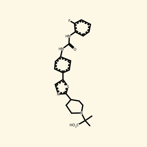 CC(C)(C(=O)O)N1CCC(c2ncc(-c3ccc(NC(=O)Nc4ccccc4F)cc3)s2)CC1